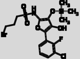 C[Si](C)(C)Oc1c(NS(=O)(=O)CCCBr)oc(-c2cccc(Cl)c2F)c1O